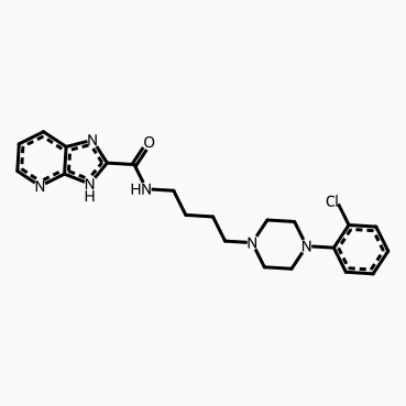 O=C(NCCCCN1CCN(c2ccccc2Cl)CC1)c1nc2cccnc2[nH]1